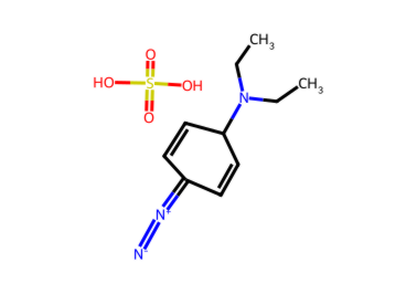 CCN(CC)C1C=CC(=[N+]=[N-])C=C1.O=S(=O)(O)O